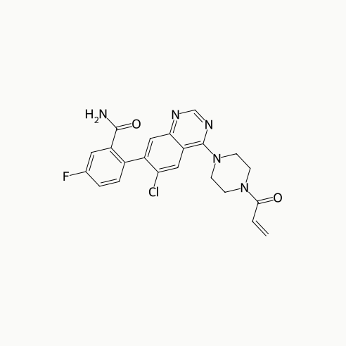 C=CC(=O)N1CCN(c2ncnc3cc(-c4ccc(F)cc4C(N)=O)c(Cl)cc23)CC1